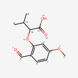 COc1ccc(C=O)c(OC(C(=O)O)C(C)C)c1